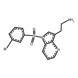 NCCc1cn(S(=O)(=O)c2cccc(Br)c2)c2cccnc12